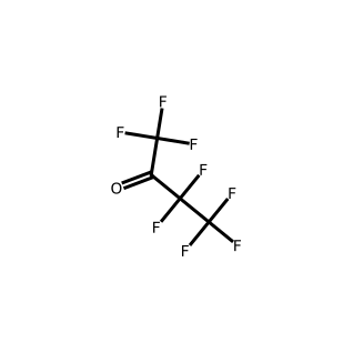 O=C(C(F)(F)F)C(F)(F)C(F)(F)F